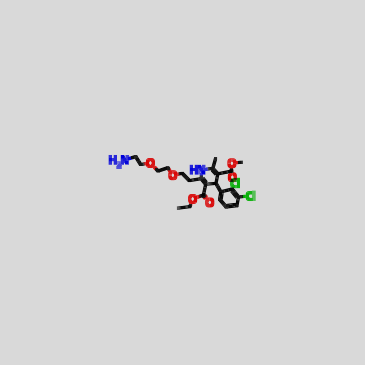 CCOC(=O)C1=C(CCOCCOCCN)NC(C)=C(C(=O)OC)C1c1cccc(Cl)c1Cl